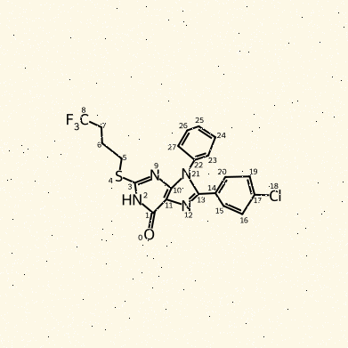 O=c1[nH]c(SCCCC(F)(F)F)nc2c1nc(-c1ccc(Cl)cc1)n2-c1ccccc1